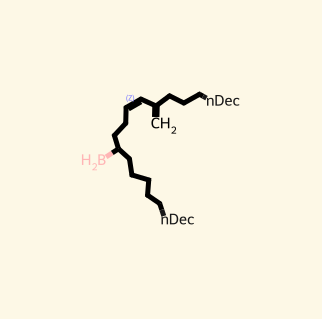 BC(CC/C=C\C(=C)CCCCCCCCCCCCC)CCCCCCCCCCCCCCC